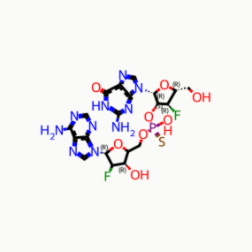 Nc1nc2c(ncn2[C@@H]2O[C@H](CO)[C@@H](F)[C@H]2OP(O)(=S)OCC2O[C@@H](n3cnc4c(N)ncnc43)C(F)[C@@H]2O)c(=O)[nH]1